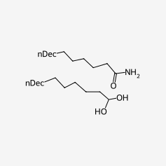 CCCCCCCCCCCCCCCC(N)=O.CCCCCCCCCCCCCCCC(O)O